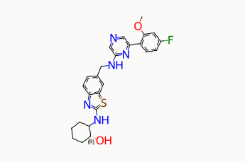 COc1cc(F)ccc1-c1cncc(NCc2ccc3nc(NC4CCCC[C@H]4O)sc3c2)n1